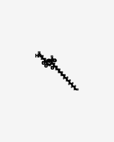 CCCCCCCCCCCCCCCCCC(=O)CC(CC(=O)P(O)C(=O)CCCNC)NC(C)=O